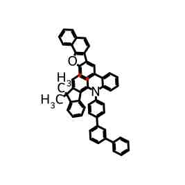 CC1(C)c2ccccc2-c2c(N(c3ccc(-c4cccc(-c5ccccc5)c4)cc3)c3ccccc3-c3ccc4oc5c6ccccc6ccc5c4c3)cccc21